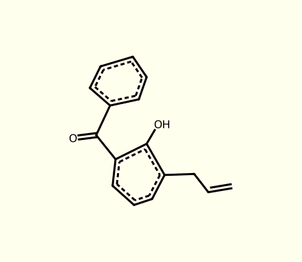 C=CCc1cccc(C(=O)c2ccccc2)c1O